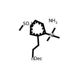 CCCCCCCCCCCCc1ccccc1[N+](C)(C)C.CS(=O)(=O)O.N